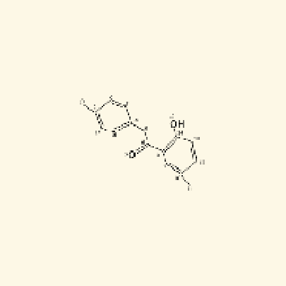 Cc1ccc(CC(=O)c2cc(C)ccc2O)cc1